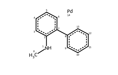 CNc1ccccc1-c1[c]cccc1.[Pd]